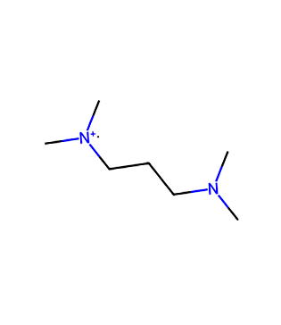 CN(C)CCC[N+](C)C